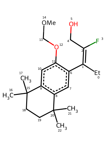 CC/C(=C(\F)CO)c1cc2c(cc1OCOC)C(C)(C)CCC2(C)C